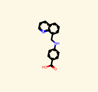 O=C(O)c1ccc(NCc2cccc3cccnc23)cc1